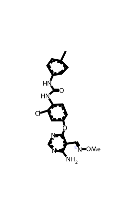 CO/N=C/c1c(N)ncnc1Oc1ccc(NC(=O)Nc2ccc(C)cc2)c(Cl)c1